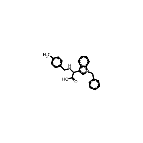 Cc1ccc(CNC(C(=O)O)c2cn(Cc3ccccc3)c3ccccc23)cc1